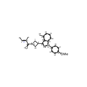 C/C=C(\C)C(=O)N1CC(c2nn(-c3ccc(OC)cc3)c3cccc(C)c23)C1